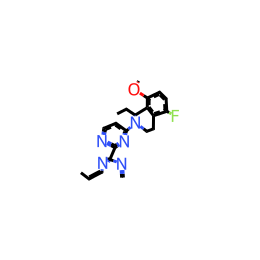 C=N/C(=N\C=C/C)c1nccc(N2CCc3c(F)ccc(OC)c3C2CC)n1